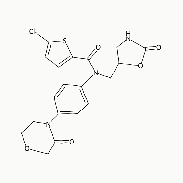 O=C1NCC(CN(C(=O)c2ccc(Cl)s2)c2ccc(N3CCOCC3=O)cc2)O1